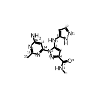 CNC(=O)c1cc(Nc2ccn[nH]2)n(-c2cc(N)nc(C)n2)n1